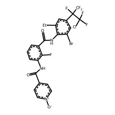 CCc1cc(C(F)(C(F)(F)F)C(F)(F)Cl)cc(Br)c1NC(=O)c1cccc(NC(=O)c2cc[n+]([O-])cc2)c1F